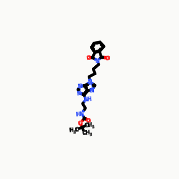 CC(C)(C)OC(=O)NCCNc1ncnc2c1ncn2CCCCN1C(=O)c2ccccc2C1=O